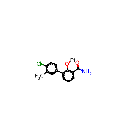 CCOc1c(C(N)=O)cccc1-c1ccc(Cl)c(C(F)(F)F)c1